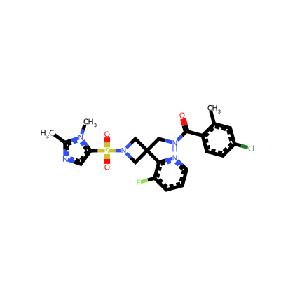 Cc1cc(Cl)ccc1C(=O)NCC1(c2ncccc2F)CN(S(=O)(=O)c2cnc(C)n2C)C1